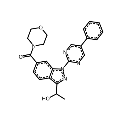 CC(O)c1nn(-c2ncc(-c3ccccc3)cn2)c2cc(C(=O)N3CCOCC3)ccc12